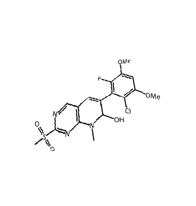 COc1cc(OC)c(Cl)c(C2=Cc3cnc(S(C)(=O)=O)nc3N(C)C2O)c1F